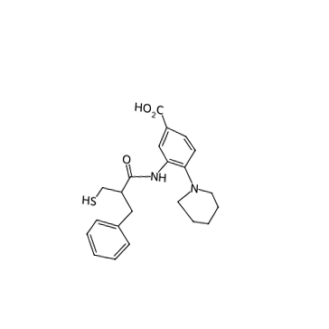 O=C(O)c1ccc(N2CCCCC2)c(NC(=O)C(CS)Cc2ccccc2)c1